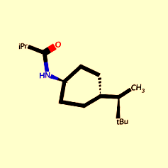 CC(C)C(=O)N[C@H]1CC[C@H]([C@@H](C)C(C)(C)C)CC1